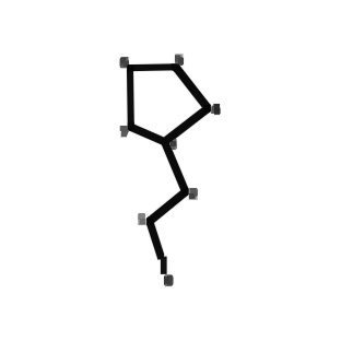 ICCC1CCCC1